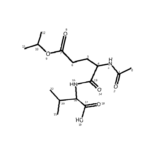 CC(=O)NC(CCC(=O)OC(C)C)C(=O)NC(C(=O)O)C(C)C